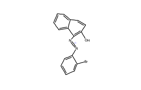 Oc1ccc2ccccc2c1/N=N/c1ccccc1Br